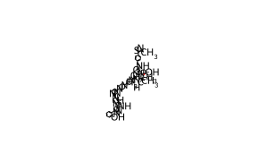 Cc1ncsc1-c1ccc(CNC(=O)[C@@H]2C[C@@H](O)CN2C(=O)[C@@H](NC(=O)N2CCC(N3CCN(c4ccnc(N5CCN6c7cc(-c8ccccc8O)nnc7NC[C@H]6C5)n4)CC3)CC2)C(C)(C)C)cc1